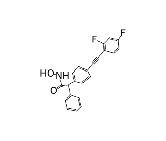 O=C(NO)C(c1ccccc1)c1ccc(C#Cc2ccc(F)cc2F)cc1